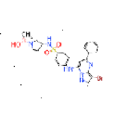 CB(O)N1CC[C@@H](NS(=O)(=O)c2ccc(Nc3cc(-c4ccccc4)nc4c(Br)cnn34)cc2)C1